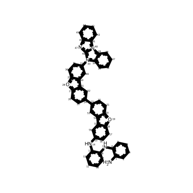 Nc1ccccc1Nc1ccccc1Nc1ccc2oc3ccc(-c4ccc5oc6ccc(-n7c8ccccc8n8c9ccccc9nc78)cc6c5c4)cc3c2c1